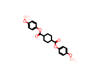 BOc1ccc(OC(=O)C2CCC(C(=O)Oc3ccc(OB)cc3)CC2)cc1